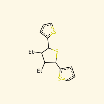 CCC1C(c2cccs2)SC(c2cccs2)C1CC